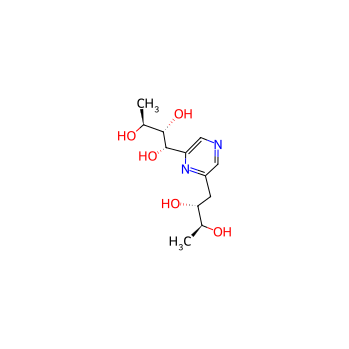 C[C@H](O)[C@H](O)[C@@H](O)c1cncc(C[C@@H](O)[C@H](C)O)n1